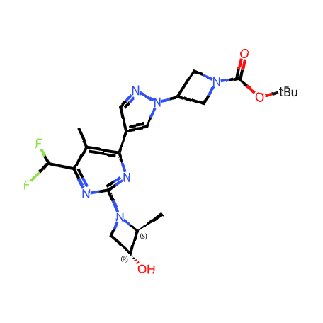 Cc1c(-c2cnn(C3CN(C(=O)OC(C)(C)C)C3)c2)nc(N2C[C@@H](O)[C@@H]2C)nc1C(F)F